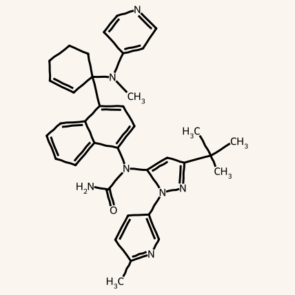 Cc1ccc(-n2nc(C(C)(C)C)cc2N(C(N)=O)c2ccc(C3(N(C)c4ccncc4)C=CCCC3)c3ccccc23)cn1